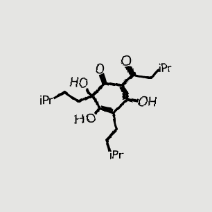 CC(C)CCC1=C(O)C(O)(CCC(C)C)C(=O)C(C(=O)CC(C)C)=C1O